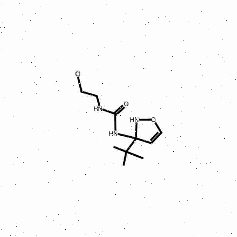 CC(C)(C)C1(NC(=O)NCCCl)C=CON1